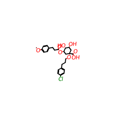 COc1ccc(CCC(=O)O[C@@H]2C[C@](OCCCc3ccc(Cl)cc3)(C(=O)O)C[C@H](O)[C@H]2O)cc1